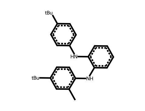 Cc1cc(C(C)(C)C)ccc1Nc1ccccc1Nc1ccc(C(C)(C)C)cc1